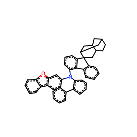 c1ccc(-c2ccccc2N(c2ccc3c(c2)oc2ccccc23)c2cccc3c2-c2ccccc2C32CC3CCC4CC3CC2C4)cc1